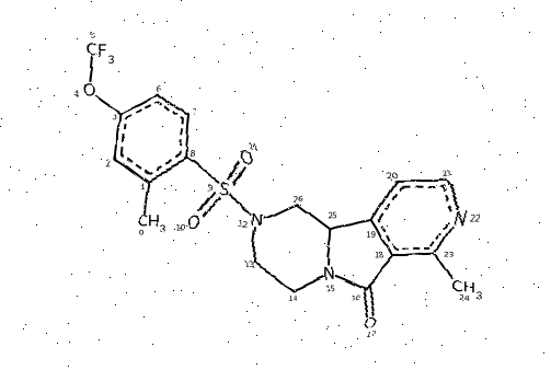 Cc1cc(OC(F)(F)F)ccc1S(=O)(=O)N1CCN2C(=O)c3c(ccnc3C)C2C1